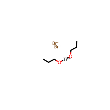 CCC[O][Ti+2][O]CCC.[Br-].[Br-]